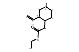 C=CC1CNCCC1CC(=O)OCC